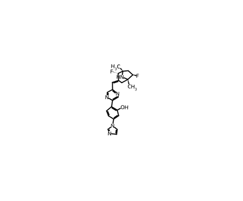 C[C@]12C/C(=C\c3cnc(-c4ccc(-n5ccnc5)cc4O)cn3)[C@H](F)[C@](C)(C[C@H]1F)N2